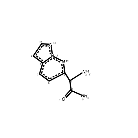 NC(=O)C(N)c1ccc2ccnn2n1